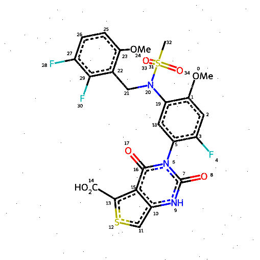 COc1cc(F)c(-n2c(=O)[nH]c3csc(C(=O)O)c3c2=O)cc1N(Cc1c(OC)ccc(F)c1F)S(C)(=O)=O